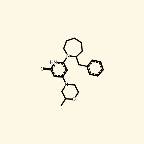 CC1CN(c2cc(N3CCCCCC3Cc3ccccc3)[nH]c(=O)c2)CCO1